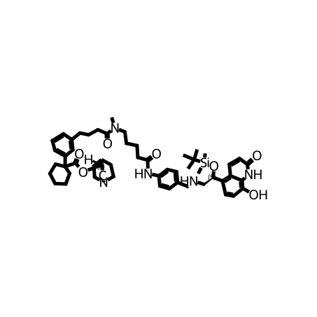 CN(CCCCC(=O)Nc1ccc(CNC[C@@H](O[Si](C)(C)C(C)(C)C)c2ccc(O)c3[nH]c(=O)ccc23)cc1)C(=O)CCCc1cccc(C2(C(=O)O[C@H]3CN4CCC3CC4)CCCCC2)c1